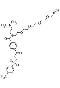 C#CCOCCOCCOCCOCCN(CCN(C)C)C(=O)c1ccc(C(=O)CCS(=O)(=O)c2ccc(C)cc2)cc1